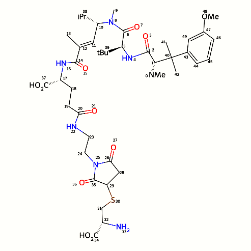 CN[C@H](C(=O)N[C@H](C(=O)N(C)[C@H](/C=C(\C)C(=O)N[C@H](CCC(=O)NCCN1C(=O)CC(SC[C@H](N)C(=O)O)C1=O)C(=O)O)C(C)C)C(C)(C)C)C(C)(C)c1cccc(OC)c1